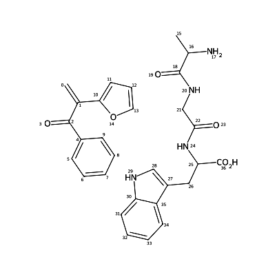 C=C(C(=O)c1ccccc1)c1ccco1.CC(N)C(=O)NCC(=O)NC(Cc1c[nH]c2ccccc12)C(=O)O